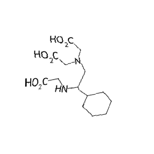 O=C(O)CNC(CN(CC(=O)O)CC(=O)O)C1CCCCC1